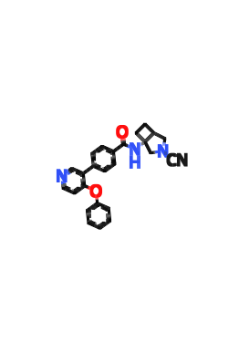 N#CN1CC2CC[C@]2(NC(=O)c2ccc(-c3cnccc3Oc3ccccc3)cc2)C1